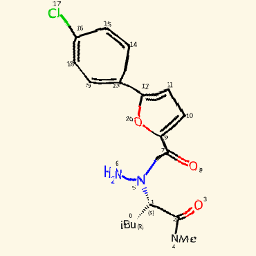 CC[C@@H](C)[C@@H](C(=O)NC)N(N)C(=O)c1ccc(-c2ccc(Cl)cc2)o1